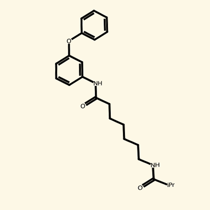 CC(C)C(=O)NCCCCCCC(=O)Nc1cccc(Oc2ccccc2)c1